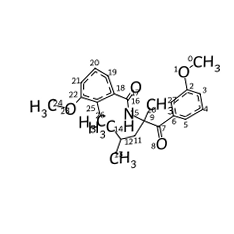 COc1cccc(C(=O)C(C)(CC(C)C)NC(=O)c2cccc(OC)c2C)c1